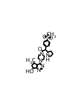 C[C@@H]1C[C@@H](O)c2ncnc(N3CCN(C(=O)C(c4ccc(S(C)(=O)=O)cc4)C4CCCN4)CC3)c21